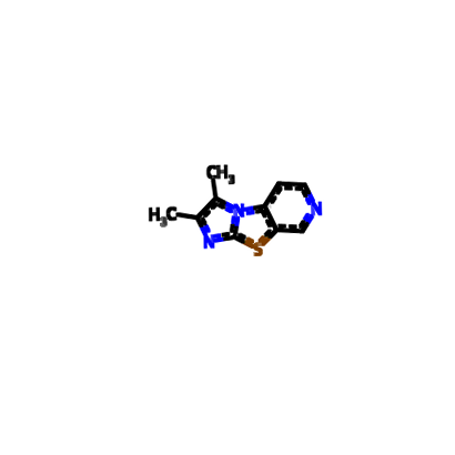 Cc1nc2sc3cnccc3n2c1C